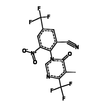 Cc1c(C(F)(F)F)ncn(-c2c(C#N)cc(C(F)(F)F)cc2[N+](=O)[O-])c1=O